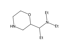 CCC(C1CNCCO1)N(CC)CC